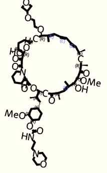 CO[C@@H]1C[C@H](C[C@@H](C)[C@@H]2CC(=O)[C@H](C)/C=C(\C)[C@@H](O)[C@@H](OC)C(=O)[C@H](C)C[C@H](C)/C=C/C=C/C=C(\C)[C@H](OCCOC3COC3)C[C@@H]3CC[C@@H](C)[C@@](O)(O3)C(=O)C(=O)N3CCCC[C@H]3C(=O)O2)CC[C@H]1OC(=O)NCCN1CCOCC1